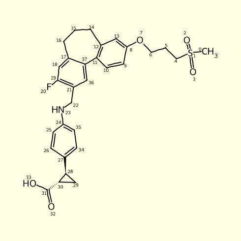 CS(=O)(=O)CCCOc1ccc2c(c1)CCCc1cc(F)c(CNc3ccc([C@H]4C[C@@H]4C(=O)O)cc3)cc1-2